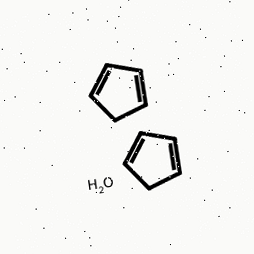 C1=CCC=C1.C1=CCC=C1.O